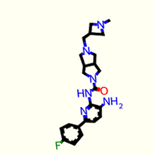 CN1CC(CN2CC3CN(C(=O)Nc4nc(-c5ccc(F)cc5)ccc4N)CC3C2)C1